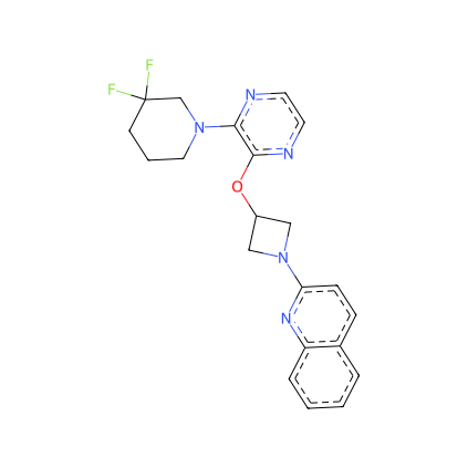 FC1(F)CCCN(c2nccnc2OC2CN(c3ccc4ccccc4n3)C2)C1